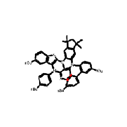 CCCCc1ccc(-c2cc(CCCC)ccc2N2c3cc4c(cc3B3c5sc6ccc(CCCC)cc6c5N(c5ccc(CCCC)cc5)c5nc(C)nc2c53)C(C)(C)CC4(C)C)cc1